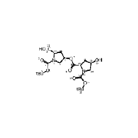 CC(C)(C)OC(=O)N1C[C@H](OC(=O)[C@H]2C[C@@H](O)CN2C(=O)OC(C)(C)C)C[C@@H]1C(=O)O